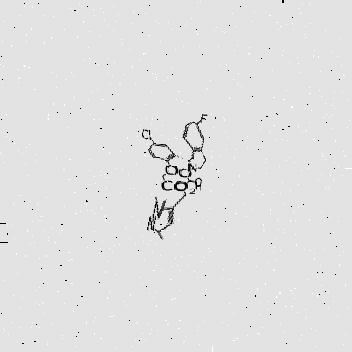 Cc1cc(COC(=O)ON2CCc3cc(F)ccc3[C@H]2c2cc(Cl)ccc2OCC(=O)O)n(C)n1